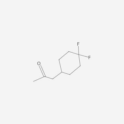 CC(=O)CC1CCC(F)(F)CC1